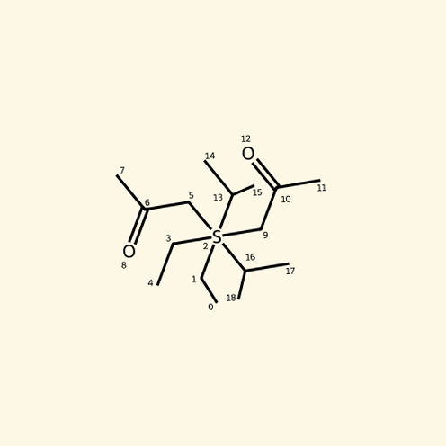 CCS(CC)(CC(C)=O)(CC(C)=O)(C(C)C)C(C)C